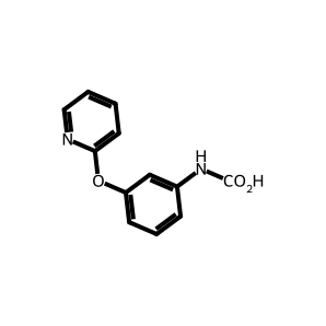 O=C(O)Nc1cccc(Oc2ccccn2)c1